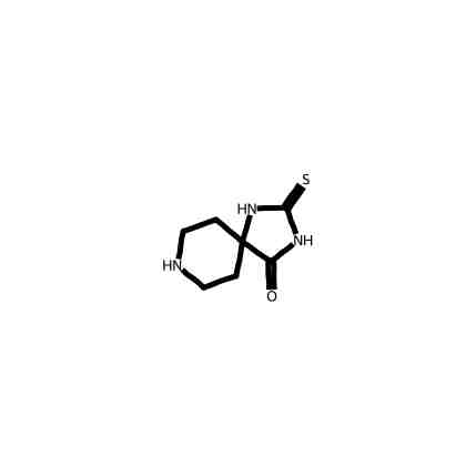 O=C1NC(=S)NC12CCNCC2